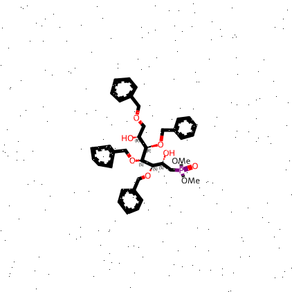 COP(=O)(C[C@@H](O)[C@H](OCc1ccccc1)[C@@H](OCc1ccccc1)[C@H](OCc1ccccc1)[C@H](O)COCc1ccccc1)OC